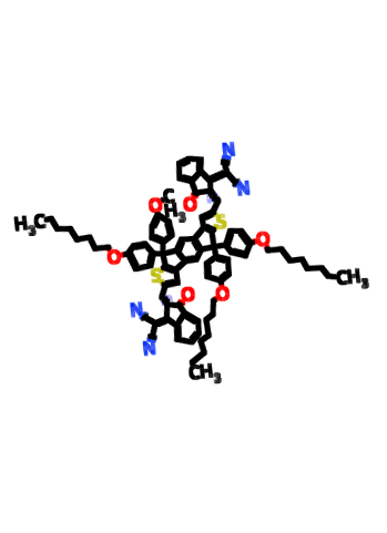 CCCCCCCCOc1ccc(C2(c3ccc(OC)cc3)c3cc4c(cc3-c3cc(/C=C5\C(=O)c6ccccc6C5=C(C#N)C#N)sc32)C(c2ccc(OCCCCCCCC)cc2)(c2ccc(OCCCCCCCC)cc2)c2sc(/C=C3\C(=O)c5ccccc5C3=C(C#N)C#N)cc2-4)cc1